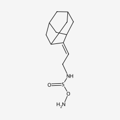 NOS(=O)NCC=C1C2CC3CC(C2)CC1C3